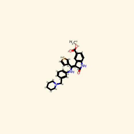 COC(=O)c1ccc2c(c1)/C(=C(/Nc1cccc(CN3CCCCC3)c1)c1ccsc1)C(=O)N2